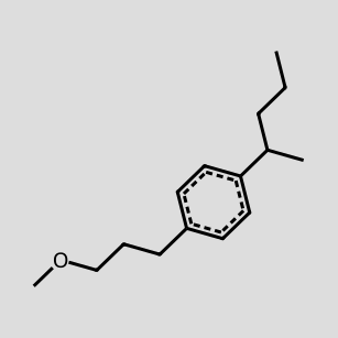 CCCC(C)c1ccc(CCCOC)cc1